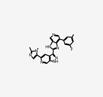 Cc1cc(F)cc(-c2cncc3[nH]c(-c4n[nH]c5cnc(-c6cnc(C)n6C)cc45)nc23)c1